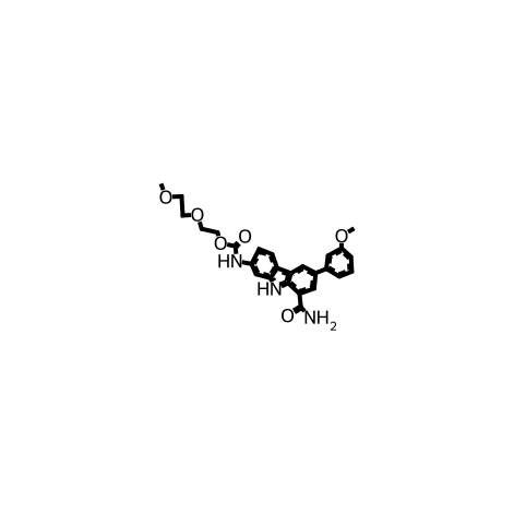 COCCOCCOC(=O)Nc1ccc2c(c1)[nH]c1c(C(N)=O)cc(-c3cccc(OC)c3)cc12